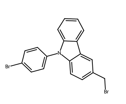 BrCc1ccc2c(c1)c1ccccc1n2-c1ccc(Br)cc1